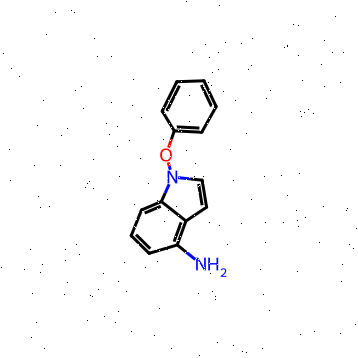 Nc1cccc2c1ccn2Oc1ccccc1